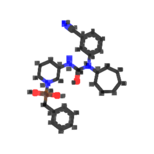 N#Cc1cccc(N(C(=O)NC2CCCN(S(=O)(=O)Cc3ccccc3)C2)C2CCCCCC2)c1